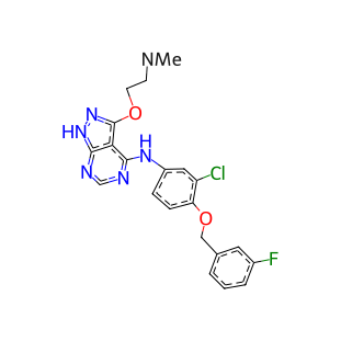 CNCCOc1n[nH]c2ncnc(Nc3ccc(OCc4cccc(F)c4)c(Cl)c3)c12